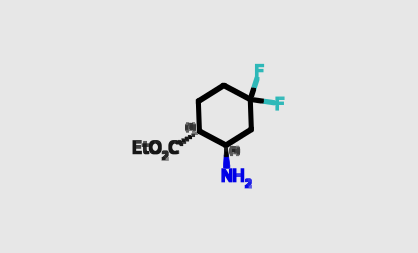 CCOC(=O)[C@@H]1CCC(F)(F)C[C@H]1N